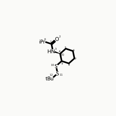 CC(C)C(=O)N[C@H]1CCCCC1SSC(C)(C)C